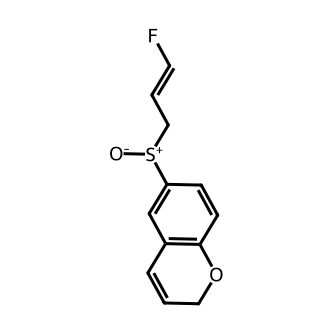 [O-][S+](CC=CF)c1ccc2c(c1)C=CCO2